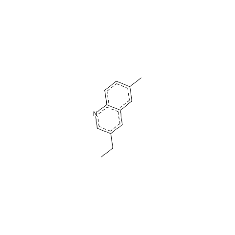 CCc1cnc2ccc(C)cc2c1